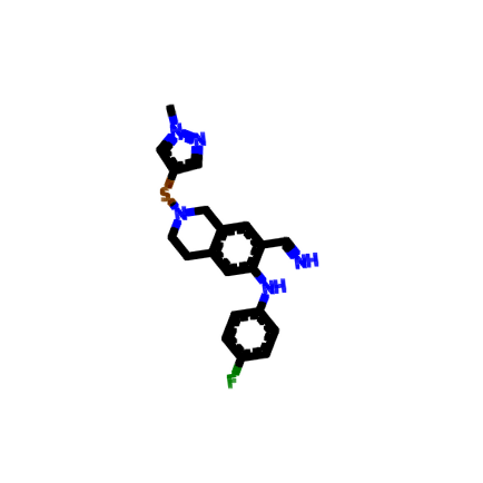 Cn1cc(SN2CCc3cc(Nc4ccc(F)cc4)c(C=N)cc3C2)cn1